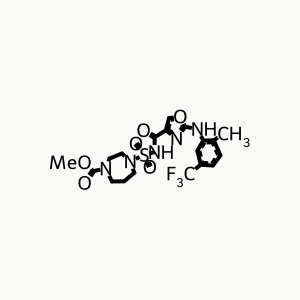 COC(=O)N1CCCN(S(=O)(=O)NC(=O)c2coc(Nc3cc(C(F)(F)F)ccc3C)n2)CC1